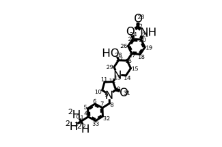 [2H]C([2H])([2H])c1ccc(CN2CCC(N3CCC(c4ccc5[nH]c(=O)oc5c4)C(O)C3)C2=O)cc1